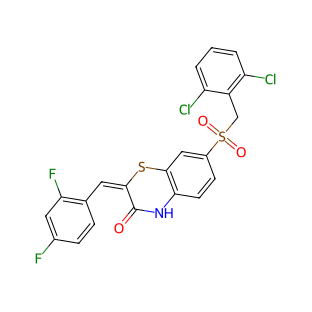 O=C1Nc2ccc(S(=O)(=O)Cc3c(Cl)cccc3Cl)cc2S/C1=C/c1ccc(F)cc1F